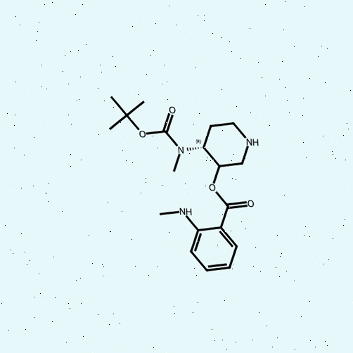 CNc1ccccc1C(=O)OC1CNCC[C@H]1N(C)C(=O)OC(C)(C)C